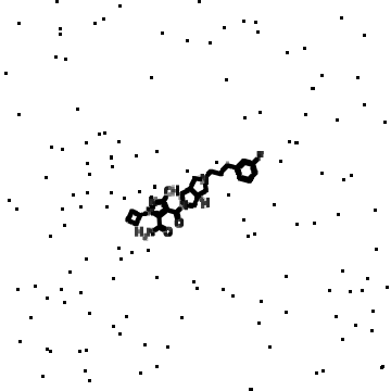 Cc1nn(C2CCC2)c(C(N)=O)c1C(=O)N1CC2CN(CC[CH]c3cccc(F)c3)C[C@H]2C1